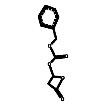 O=C1CC(OC(=O)OCc2ccccc2)O1